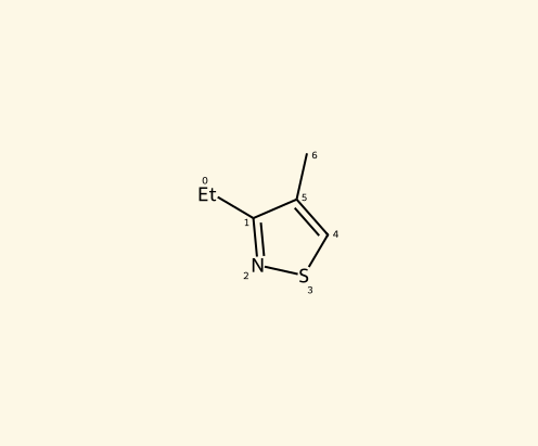 CCc1nscc1C